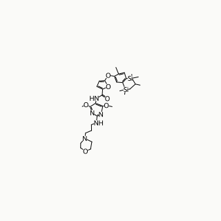 COc1nc(NCCCN2CCOCC2)nc(OC)c1NC(=O)c1ccc(Oc2cc3c(cc2C)[Si](C)(C)C(C)C[Si]3(C)C)o1